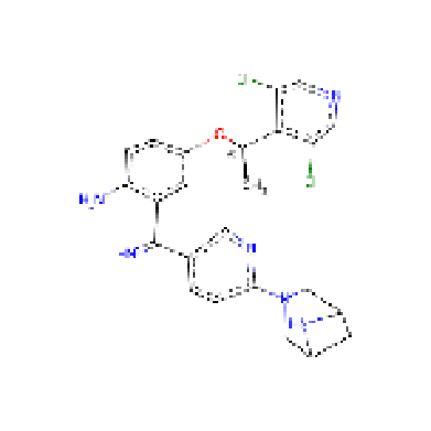 C[C@@H](Oc1ccc(N)c(C(=N)c2ccc(N3CC4CC(C3)N4)nc2)c1)c1c(Cl)cncc1Cl